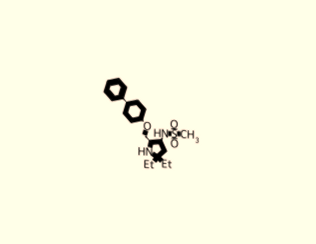 CCC1(CC)C[C@@H](NS(C)(=O)=O)[C@@H](CO[C@H]2CC[C@@H](c3ccccc3)CC2)N1